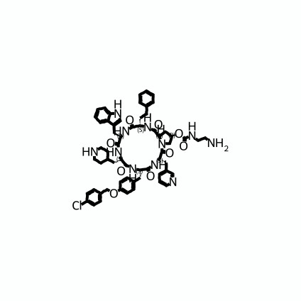 NCCNC(=O)O[C@@H]1C[C@H]2C(=O)N[C@@H](CCc3ccccc3)C(=O)N[C@H](Cc3c[nH]c4ccccc34)C(=O)N[C@@H](CC3CCNCC3)C(=O)N[C@@H](Cc3ccc(OCc4ccc(Cl)cc4)cc3)C(=O)N[C@@H](Cc3cccnc3)C(=O)N2C1